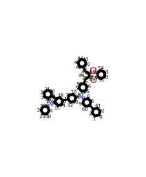 c1ccc(-c2ccc(N(c3ccc(-c4ccc5c(c4)c4ccccc4n5-c4ccccc4)cc3)c3ccc(-c4sc(-c5ccccc5)c5c4Oc4ccccc4O5)cc3)cc2)cc1